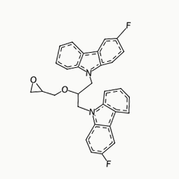 Fc1ccc2c(c1)c1ccccc1n2CC(Cn1c2ccccc2c2cc(F)ccc21)OCC1CO1